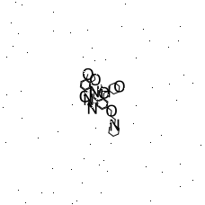 Clc1ccc2c(c1Nc1ncnc3cc(OCCN4CCCCC4)cc(OC4CCOCC4)c13)OCO2